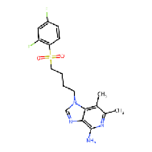 Cc1nc(N)c2ncn(CCCCS(=O)(=O)c3ccc(F)cc3F)c2c1C